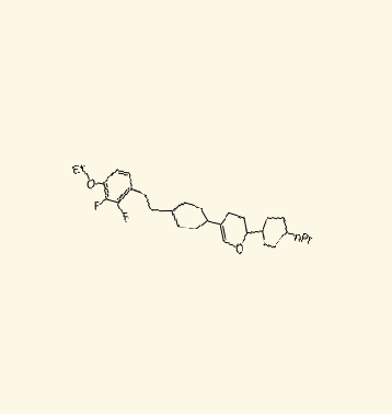 CCCC1CCC(C2CCC(C3CCC(CCc4ccc(OCC)c(F)c4F)CC3)=CO2)CC1